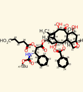 CC1=C2[C@@H](O)C(=O)[C@@]3(C)[C@@H]([C@@H]4CO[C@@H]4C[C@@H]3O)[C@H](OC(=O)c3ccccc3)[C@](O)(C[C@@H]1OC(=O)[C@H](OC(=O)CCCC(=O)O)[C@@H](NC(=O)OC(C)(C)C)c1ccccc1)C2(C)C